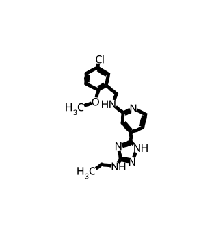 CCNc1n[nH]c(-c2ccnc(NCc3cc(Cl)ccc3OC)c2)n1